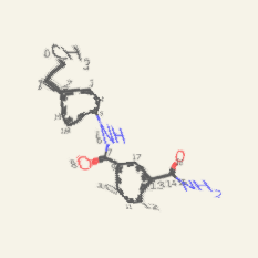 CCc1ccc(NC(=O)c2cccc(C(N)=O)c2)cc1